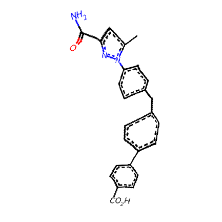 Cc1cc(C(N)=O)nn1-c1ccc(Cc2ccc(-c3ccc(C(=O)O)cc3)cc2)cc1